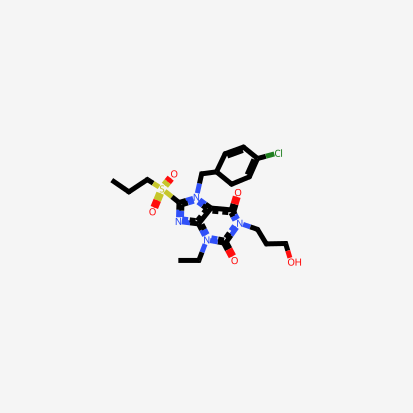 CCCS(=O)(=O)c1nc2c(c(=O)n(CCCO)c(=O)n2CC)n1CC1C=CC(Cl)=CC1